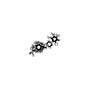 [2H]c1c([2H])c(C)c(Cl)c(N2CCN(CC([2H])([2H])[C@]3([2H])C([2H])([2H])C([2H])([2H])[C@@]([2H])(NC(=O)N(C)C)C([2H])([2H])C3([2H])[2H])CC2)c1[2H]